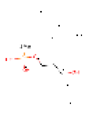 CS[PH](O)(O)OCCCO